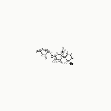 Cc1cnc(Br)c(F)c1-n1c(C)cc(OCc2ncc(F)cc2F)c(Cl)c1=O